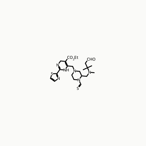 CCOC(=O)C1=C(CN2CCN(C=S)C(CN(C)C(C)(C)CC=O)C2)NC(c2nccs2)=NC1